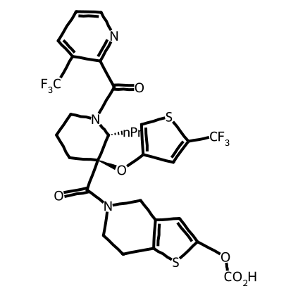 CCC[C@H]1N(C(=O)c2ncccc2C(F)(F)F)CCC[C@@]1(Oc1csc(C(F)(F)F)c1)C(=O)N1CCc2sc(OC(=O)O)cc2C1